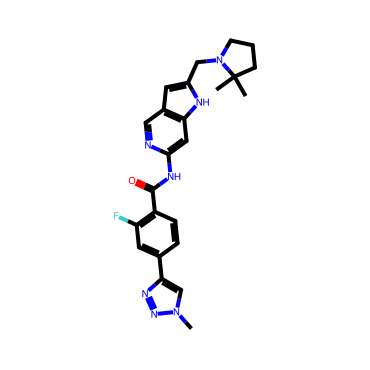 Cn1cc(-c2ccc(C(=O)Nc3cc4[nH]c(CN5CCCC5(C)C)cc4cn3)c(F)c2)nn1